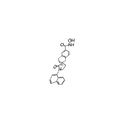 O=C(NO)c1ccc2c(c1)CC[C@]1(CCN(c3cccc4ccccc34)C1=O)C2